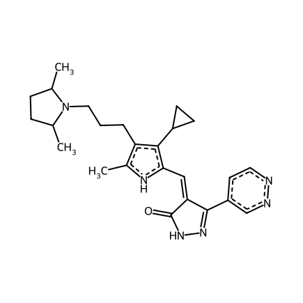 Cc1[nH]c(C=C2C(=O)NN=C2c2ccnnc2)c(C2CC2)c1CCCN1C(C)CCC1C